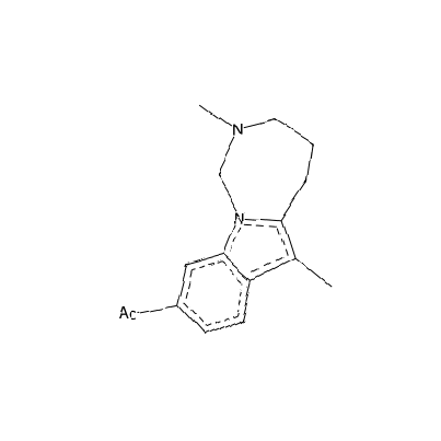 CC(=O)c1ccc2c(C)c3n(c2c1)CN(C)CCC3